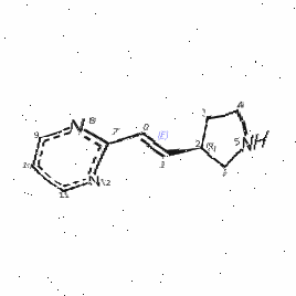 C(=C\[C@H]1CCNC1)/c1ncccn1